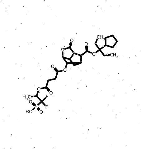 CCC(CC)(OC(=O)C1C2CC3C(OC(=O)C31)C2OC(=O)CCC(=O)OC(C)C(F)(F)S(=O)(=O)O)C1CCCC1